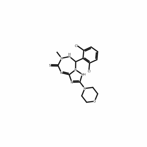 CN1NC(c2c(Cl)cccc2Cl)N2NC(N3CCOCC3)=NC2=NC1=S